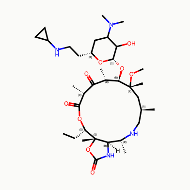 CC[C@@H]1OC(=O)[C@H](C)C(=O)[C@H](C)[C@@H](O[C@@H]2O[C@H](CCNC3CC3)CC(N(C)C)C2O)[C@](C)(OC)C[C@@H](C)CN[C@H](C)[C@H]2NC(=O)O[C@]12C